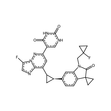 O=C1N(CC2(F)CC2)c2cc([C@H]3CC3c3cc(-c4c[nH]c(=O)[nH]c4=O)nn4c(F)cnc34)ccc2C12CC2